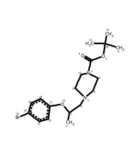 CC(CN1CCN(C(=O)OC(C)(C)C)CC1)Oc1ccc(Br)cc1